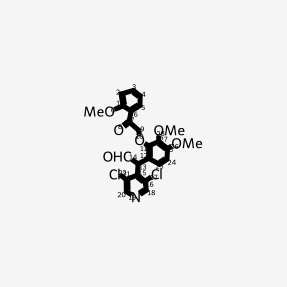 COc1ccccc1C(=O)COc1c(C(C=O)c2c(Cl)cncc2Cl)ccc(OC)c1OC